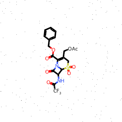 CC(=O)OCC1=C(C(=O)OCc2ccccc2)N2C(=O)C(NC(=O)C(F)(F)F)C2S(=O)(=O)C1